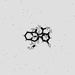 C=C[C@H]1CN(C(C)C(=O)O)C(=O)[C@@H]2CCC[C@H]1N2S(=O)(=O)c1cc(Cl)cc(Cl)c1